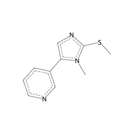 CSc1ncc(-c2cccnc2)n1C